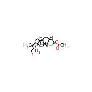 CC(=O)O[C@H]1CC[C@]23C[C@]24CC[C@]2(C)[C@@H]([C@H](C)CCI)CC[C@@]2(C)[C@@H]4CC[C@H]3C1